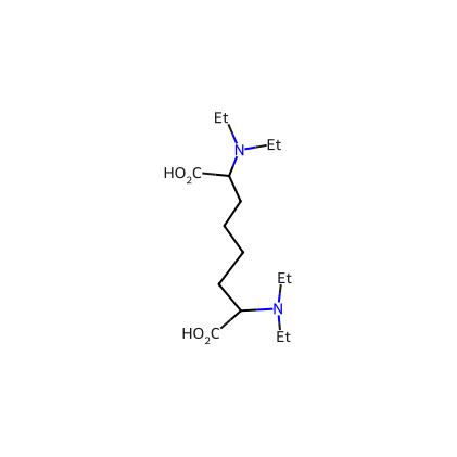 CCN(CC)C(CCCCC(C(=O)O)N(CC)CC)C(=O)O